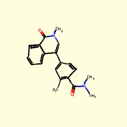 Cc1cc(-c2cn(C)c(=O)c3ccccc23)ccc1C(=O)N(C)C